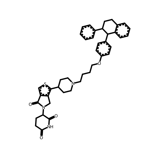 O=C1CCC(N2Cc3c(csc3C3CCN(CCCCOc4ccc(C5c6ccccc6CCC5c5ccccc5)cc4)CC3)C2=O)C(=O)N1